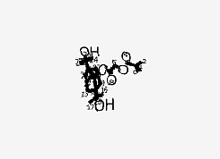 C=C(C)C(=O)OCC(=O)OC12CC3CC(C(C)(C)O)(C1)CC(C(C)(C)O)(C3)C2